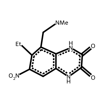 CCc1c([N+](=O)[O-])cc2[nH]c(=O)c(=O)[nH]c2c1CNC